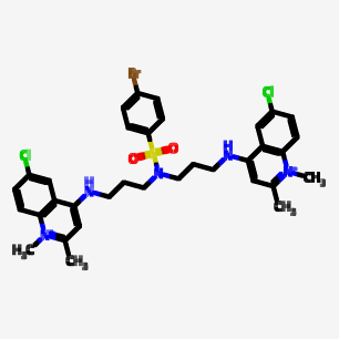 Cc1cc(NCCCN(CCCNc2cc(C)[n+](C)c3ccc(Cl)cc23)S(=O)(=O)c2ccc(Br)cc2)c2cc(Cl)ccc2[n+]1C